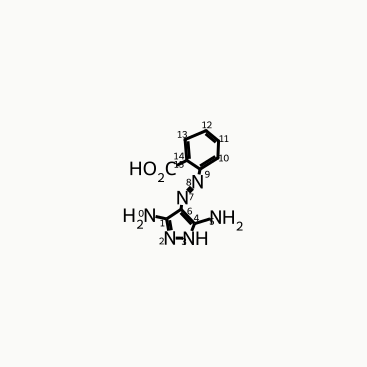 Nc1n[nH]c(N)c1N=Nc1ccccc1C(=O)O